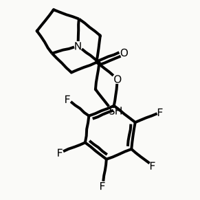 O=C(CS)N1C2CCC1CC(Oc1c(F)c(F)c(F)c(F)c1F)C2